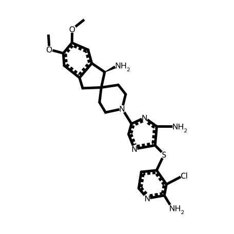 COc1cc2c(cc1OC)[C@@H](N)C1(CCN(c3cnc(Sc4ccnc(N)c4Cl)c(N)n3)CC1)C2